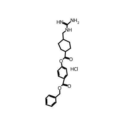 Cl.N=C(N)NCC1CCC(C(=O)Oc2ccc(C(=O)OCc3ccccc3)cc2)CC1